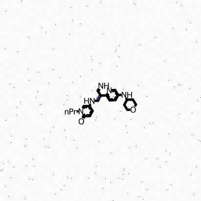 CCCn1cc(N/C=C(\C=N)c2ccc(NC3CCOCC3)cn2)ccc1=O